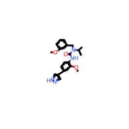 COc1cccc(CN(C(=O)Nc2ccc(-c3cn[nH]c3)cc2OC)C(C)C)c1